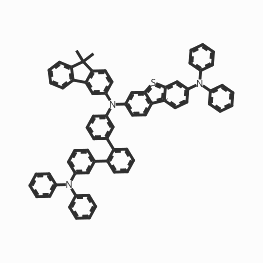 CC1(C)c2ccccc2-c2cc(N(c3cccc(-c4ccccc4-c4cccc(N(c5ccccc5)c5ccccc5)c4)c3)c3ccc4c(c3)sc3cc(N(c5ccccc5)c5ccccc5)ccc34)ccc21